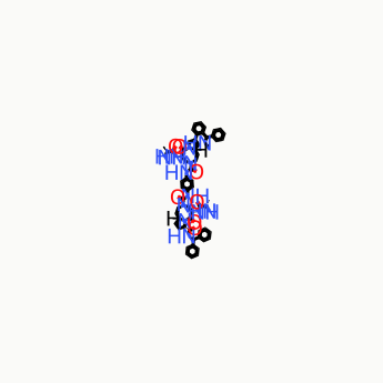 CNC(c1ccccc1)c1ccccc1C1C[C@@H]2CCN(C(=O)Nc3ccc(NC(=O)N4CC[C@H]5CC[C@@H](C(=O)NC(c6ccccc6)c6ccccc6)N5C(=O)[C@@H](NC(=O)[C@H](C)NC)C4)cc3)C[C@H](NC(=O)[C@H](C)NC)C(=O)N2C1